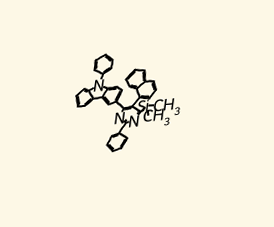 C[Si]1(C)c2ccc3ccccc3c2-c2c(-c3ccc4c(c3)c3ccccc3n4-c3ccccc3)nc(-c3ccccc3)nc21